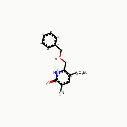 CCOC(=O)c1cc(C#N)c(=O)[nH]c1COCc1ccccc1